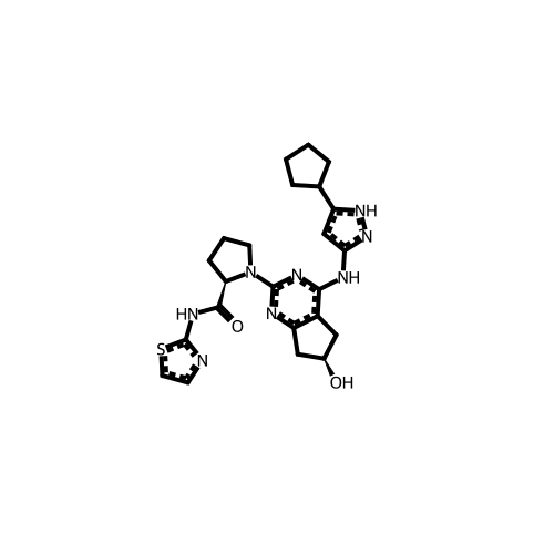 O=C(Nc1nccs1)[C@H]1CCCN1c1nc2c(c(Nc3cc(C4CCCC4)[nH]n3)n1)C[C@@H](O)C2